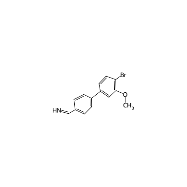 COc1cc(-c2ccc(C=N)cc2)ccc1Br